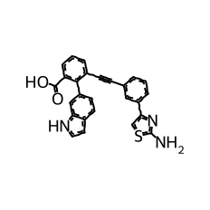 Nc1nc(-c2cccc(C#Cc3cccc(C(=O)O)c3-c3ccc4cc[nH]c4c3)c2)cs1